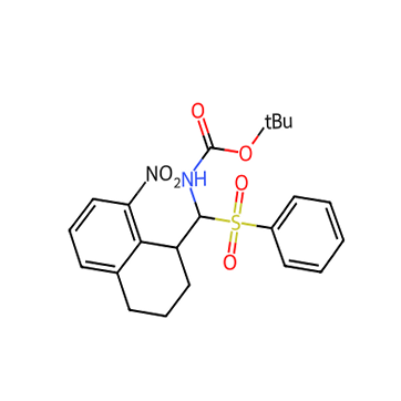 CC(C)(C)OC(=O)NC(C1CCCc2cccc([N+](=O)[O-])c21)S(=O)(=O)c1ccccc1